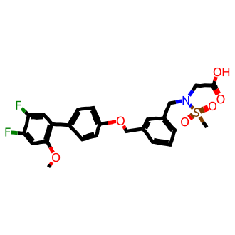 COc1cc(F)c(F)cc1-c1ccc(OCc2cccc(CN(CC(=O)O)S(C)(=O)=O)c2)cc1